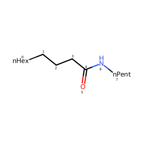 [CH2]CCCCCCCCC(=O)NCCCCC